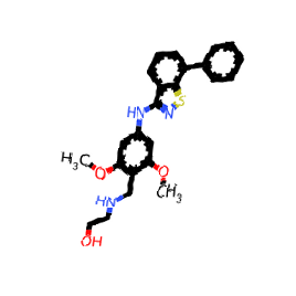 COc1cc(Nc2nsc3c(-c4ccccc4)cccc23)cc(OC)c1CNCCO